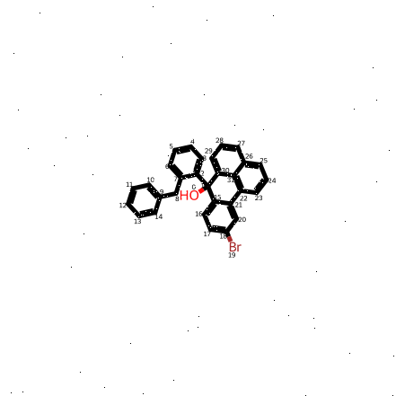 OC1(c2ccccc2Cc2ccccc2)c2ccc(Br)cc2-c2cccc3cccc1c23